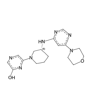 Oc1cncc(N2CCC[C@@H](Nc3cc(N4CCOCC4)ncn3)C2)n1